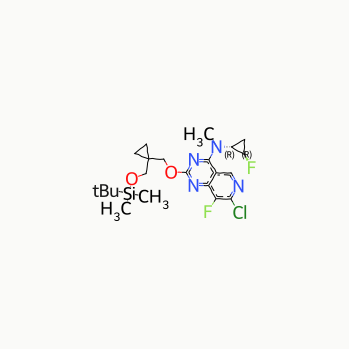 CN(c1nc(OCC2(CO[Si](C)(C)C(C)(C)C)CC2)nc2c(F)c(Cl)ncc12)[C@@H]1C[C@H]1F